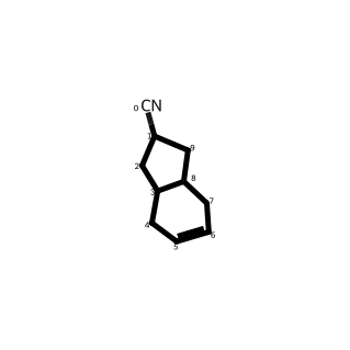 N#CC1CC2CC=CCC2C1